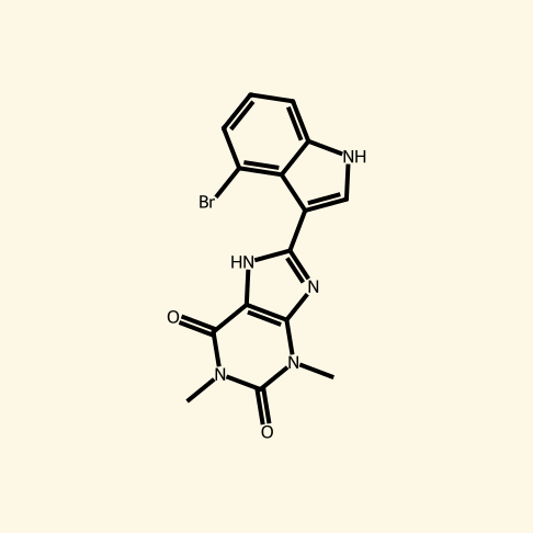 Cn1c(=O)c2[nH]c(-c3c[nH]c4cccc(Br)c34)nc2n(C)c1=O